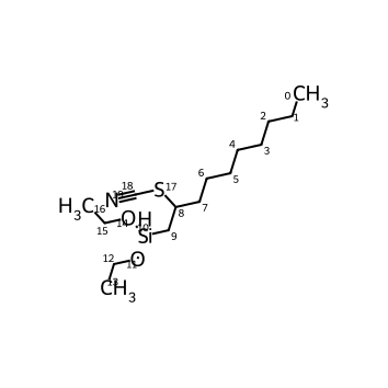 CCCCCCCCC(C[SiH](OCC)OCC)SC#N